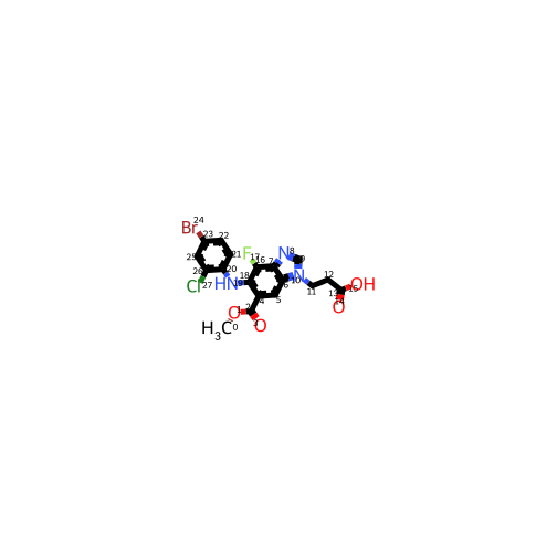 COC(=O)c1cc2c(ncn2CCC(=O)O)c(F)c1Nc1ccc(Br)cc1Cl